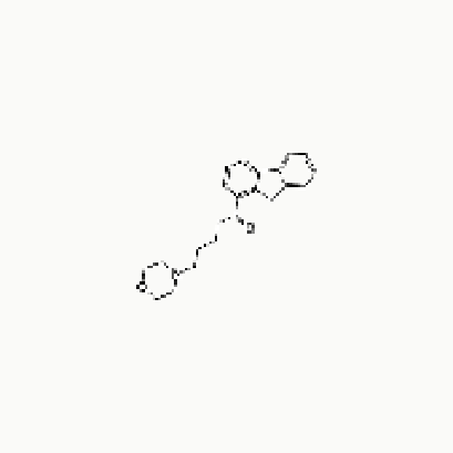 O=C(CCCCN1CCOCC1)c1cccc2c1Cc1ccccc1-2